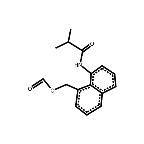 CC(C)C(=O)Nc1cccc2cccc(COC=O)c12